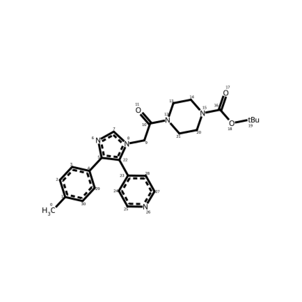 Cc1ccc(-c2ncn(CC(=O)N3CCN(C(=O)OC(C)(C)C)CC3)c2-c2ccncc2)cc1